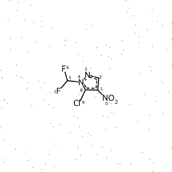 O=[N+]([O-])c1cnn(C(F)F)c1Cl